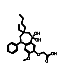 CCCCC1(CC)CN(c2ccccc2)c2cc(OC)c(OCC(=O)O)cc2S(O)(O)C1